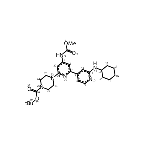 COC(=O)Nc1cc(-c2ccnc(NC3CCCCC3)c2)nc(N2CCN(C(=O)OC(C)(C)C)CC2)c1